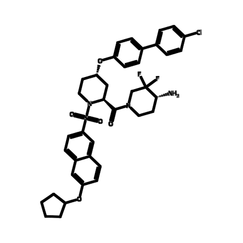 N[C@@H]1CCN(C(=O)[C@@H]2C[C@@H](Oc3ccc(-c4ccc(Cl)cc4)cc3)CCN2S(=O)(=O)c2ccc3cc(OC4CCCC4)ccc3c2)CC1(F)F